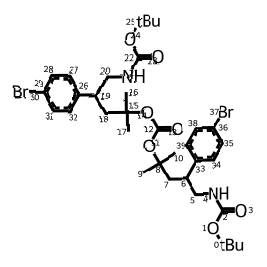 CC(C)(C)OC(=O)NCC(CC(C)(C)OC(=O)OC(C)(C)CC(CNC(=O)OC(C)(C)C)c1ccc(Br)cc1)c1ccc(Br)cc1